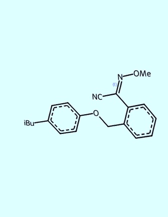 CCC(C)c1ccc(OCc2ccccc2/C(C#N)=N\OC)cc1